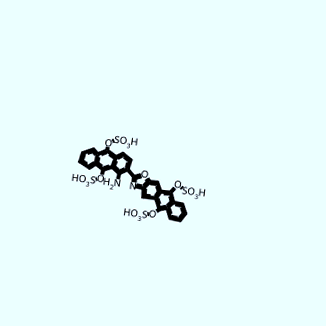 Nc1c(-c2nc3cc4c(OS(=O)(=O)O)c5ccccc5c(OS(=O)(=O)O)c4cc3o2)ccc2c(OS(=O)(=O)O)c3ccccc3c(OS(=O)(=O)O)c12